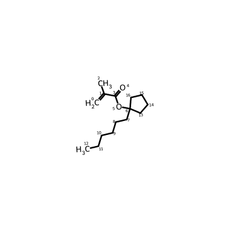 C=C(C)C(=O)OC1(CCCCCC)CCCC1